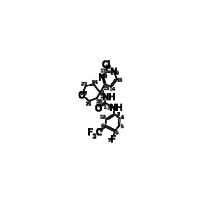 O=C(Nc1ccc(F)c(C(F)(F)F)c1)NC1(c2ccnc(Cl)n2)CCOCC1